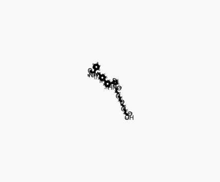 CNC(=O)[C@H](c1ccccc1)N(C)Cc1ccc(-c2cccc(-c3sccc3NC(=O)CCOCCOCCOCCC(=O)O)c2)cc1